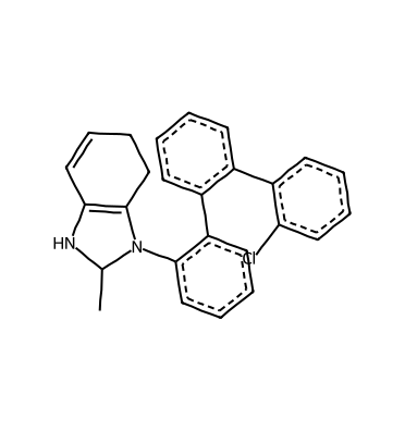 CC1NC2=C(CCC=C2)N1c1ccccc1-c1ccccc1-c1ccccc1Cl